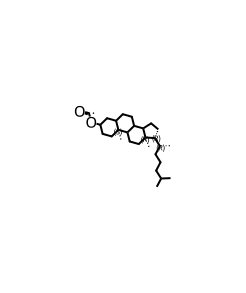 CC(C)CCC[C@@H](C)[C@H]1CCC2C3CCC4CC(O[C]=O)CC[C@]4(C)C3CC[C@@]21C